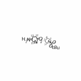 CC(C)(C)OC(=O)N1CC[C@@H](COc2ccc(N)cn2)C1